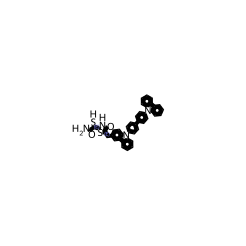 NC(=O)/C(S)=c1/[nH]c(=O)/c(=C\c2ccc3c(c2)c2ccccc2n3C2=CC=C(c3ccc(-n4c5ccccc5c5ccccc54)cc3)CC2)s1